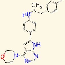 Cc1ccc(CC(Nc2ccc(-c3cc4c(N5CCOCC5)ncnc4[nH]3)cc2)C(F)(F)F)cc1